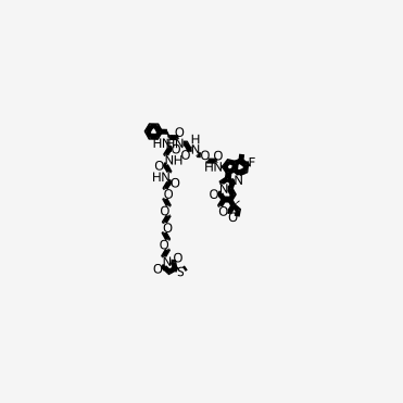 CC[C@@]1(C)C(=O)OCc2c1cc1n(c2=O)Cc2c-1nc1cc(F)c(C)c3c1c2[C@@H](NC(=O)COCNC(=O)CNC(=O)[C@H](Cc1ccccc1)NC(=O)CNC(=O)CNC(=O)COCCOCCOCCOCCN1C(=O)CC(SC)C1=O)C3